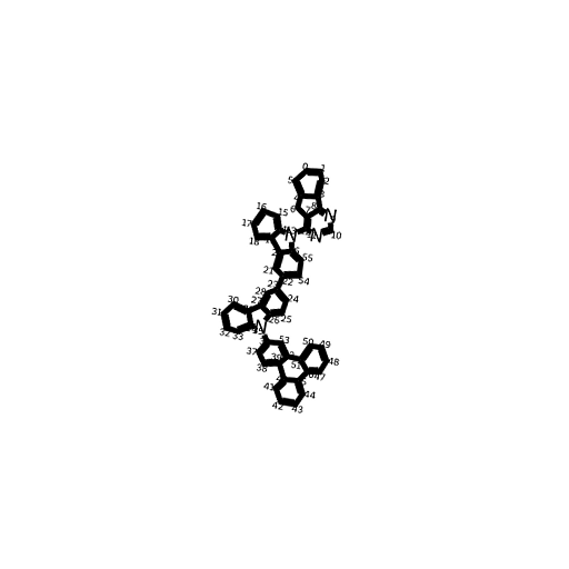 c1ccc2c(c1)Cc1c-2ncnc1-n1c2ccccc2c2cc(-c3ccc4c(c3)c3ccccc3n4-c3ccc4c5ccccc5c5ccccc5c4c3)ccc21